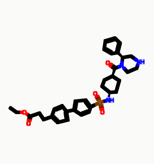 CCOC(=O)CCc1ccc(-c2ccc(S(=O)(=O)N[C@H]3CC[C@H](C(=O)N4CCNC[C@@H]4c4ccccc4)CC3)cc2)cc1